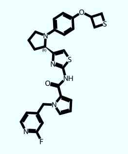 O=C(Nc1nc([C@H]2CCCN2c2ccc(OC3CSC3)cc2)cs1)c1cccn1Cc1ccnc(F)c1